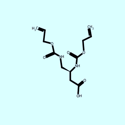 C=CCOC(=O)NC[C@H](CC(=O)O)NC(=O)OCC=C